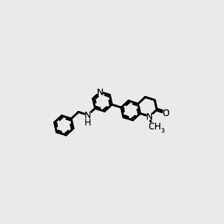 CN1C(=O)CCc2cc(-c3cncc(NCc4ccccc4)c3)ccc21